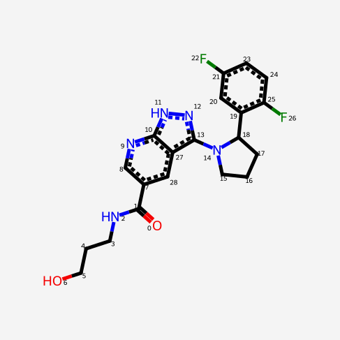 O=C(NCCCO)c1cnc2[nH]nc(N3CCCC3c3cc(F)ccc3F)c2c1